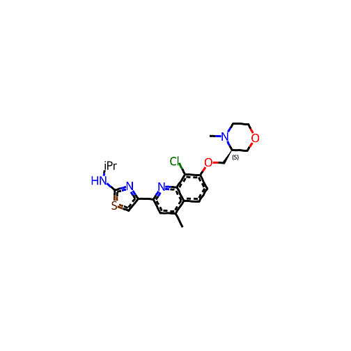 Cc1cc(-c2csc(NC(C)C)n2)nc2c(Cl)c(OC[C@@H]3COCCN3C)ccc12